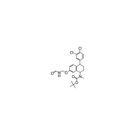 CN(C(=O)OC(C)(C)C)C1CCC(c2ccc(Cl)c(Cl)c2)c2ccc(OCNC=O)cc21